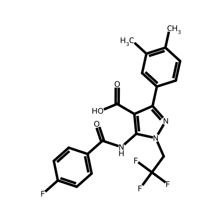 Cc1ccc(-c2nn(CC(F)(F)F)c(NC(=O)c3ccc(F)cc3)c2C(=O)O)cc1C